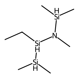 CC[SiH](N(C)[SiH](C)C)[SiH](C)C